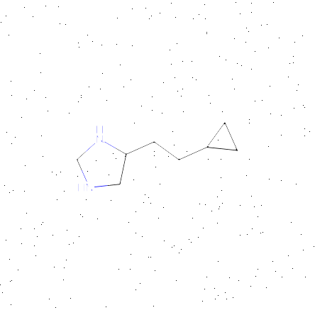 C1NCC(CCC2CC2)N1